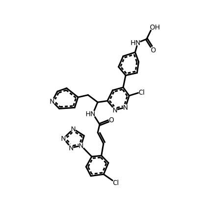 O=C(O)Nc1ccc(-c2cc(C(Cc3ccncc3)NC(=O)C=Cc3cc(Cl)ccc3-n3cnnn3)nnc2Cl)cc1